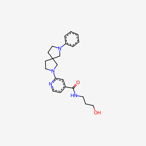 O=C(NCCCO)c1ccnc(N2CCC3(CCN(c4ccccc4)C3)C2)c1